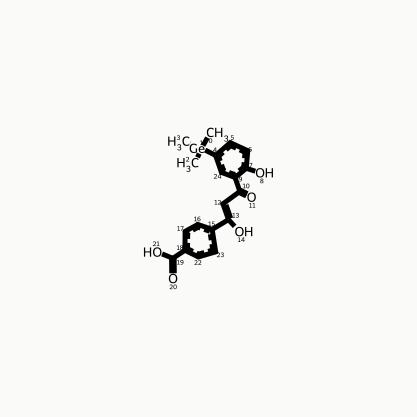 [CH3][Ge]([CH3])([CH3])[c]1ccc(O)c(C(=O)C=C(O)c2ccc(C(=O)O)cc2)c1